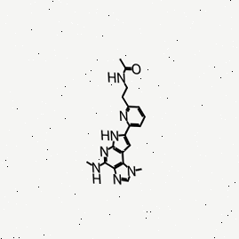 CNc1nc2[nH]c(-c3cccc(CCNC(C)=O)n3)cc2c2c1ncn2C